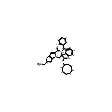 CCc1cc2c(cc3n2CC(C(=O)NC2CCCCCCC2)(c2ccccc2)N(C(C)c2ccccc2)C3=O)s1